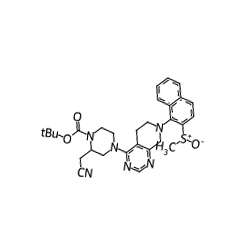 C[S+]([O-])c1ccc2ccccc2c1N1CCc2c(ncnc2N2CCN(C(=O)OC(C)(C)C)C(CC#N)C2)C1